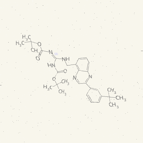 CC(C)(C)OC(=O)/N=C(/NCc1cccc2nc(-c3cccc(C(C)(C)C)c3)cnc12)NC(=O)OC(C)(C)C